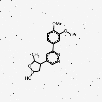 CCCOc1cc(-c2cc(C3CB(O)OC3C)cnn2)ccc1OC